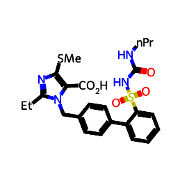 CCCNC(=O)NS(=O)(=O)c1ccccc1-c1ccc(Cn2c(CC)nc(SC)c2C(=O)O)cc1